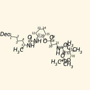 CCCCCCCCCCCCCCC(C)NC(=O)N[C@H]1CCCC[C@@H]1OC(=O)CCNC(=O)C1OC(C)(C)OCC1(C)C